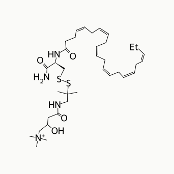 CC/C=C\C/C=C\C/C=C\C/C=C\C/C=C\C/C=C\CCC(=O)N[C@@H](CSSC(C)(C)CNC(=O)CC(O)C[N+](C)(C)C)C(N)=O